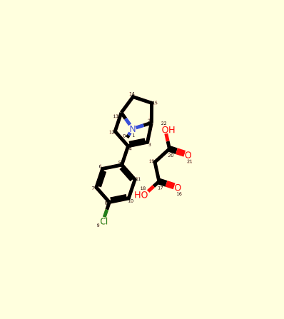 CN1C2C=C(c3ccc(Cl)cc3)CC1CC2.O=C(O)CC(=O)O